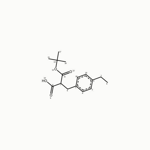 CCc1ccc(CC(C(=O)O)C(=O)OC(C)(C)C)cc1